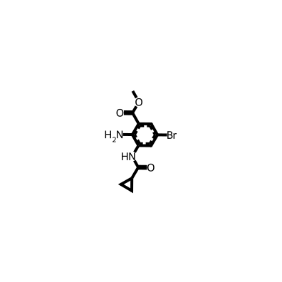 COC(=O)c1cc(Br)cc(NC(=O)C2CC2)c1N